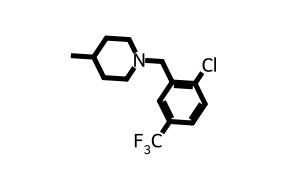 CC1CCN(Cc2cc(C(F)(F)F)ccc2Cl)CC1